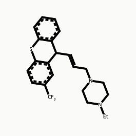 CCN1CCN(C/C=C/C2c3ccccc3Sc3ccc(C(F)(F)F)cc32)CC1